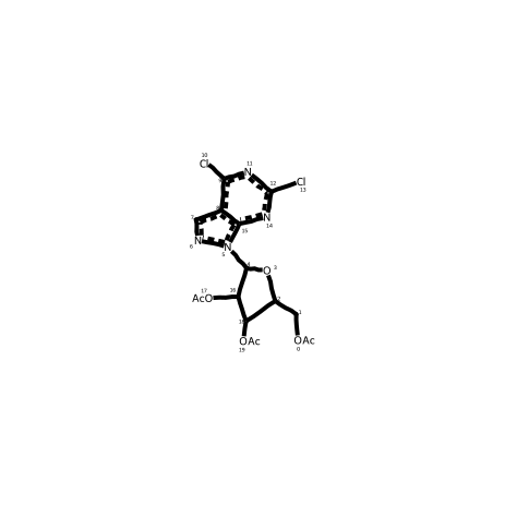 CC(=O)OCC1OC(n2ncc3c(Cl)nc(Cl)nc32)C(OC(C)=O)C1OC(C)=O